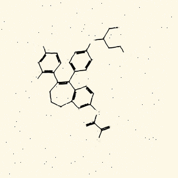 CCCC(CC)Oc1ccc(C2=C(c3ccc(C)cc3C)CCCc3cc(NC(=O)C(N)=O)ccc32)cc1